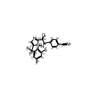 N#Cc1ccc(C2=N[N+]3(c4ccc(F)cc4F)C(C(F)(F)F)=CN=C3C2=O)cc1